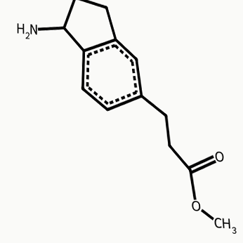 COC(=O)CCc1ccc2c(c1)CCC2N